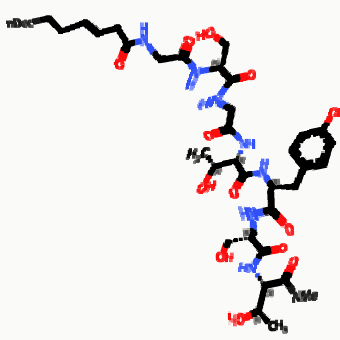 CCCCCCCCCCCCCCCC(=O)NCC(=O)N[C@@H](CO)C(=O)NCC(=O)N[C@H](C(=O)N[C@@H](Cc1ccc(O)cc1)C(=O)N[C@@H](CO)C(=O)N[C@H](C(=O)NC)[C@@H](C)O)[C@@H](C)O